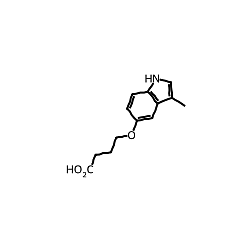 Cc1c[nH]c2ccc(OCCCC(=O)O)cc12